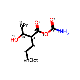 CCCCCCCCCCC(C(=O)OC(N)=O)C(O)CCC